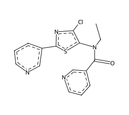 CCN(C(=O)c1cccnc1)c1sc(-c2cccnc2)nc1Cl